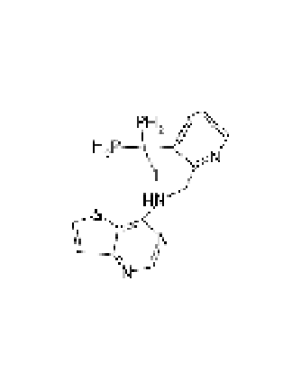 PC(P)(I)c1cccnc1CNc1ncnc2ccsc12